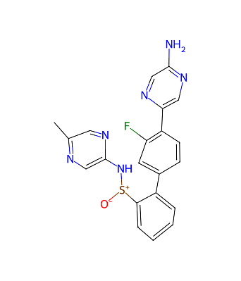 Cc1cnc(N[S+]([O-])c2ccccc2-c2ccc(-c3cnc(N)cn3)c(F)c2)cn1